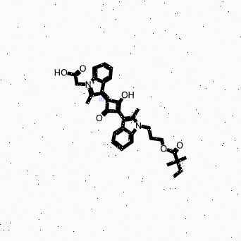 CCC(C)(C)C(=O)OCCCn1c(C)c(C2=C(O)/C(=C3/C(C)=[N+](CC(=O)O)c4ccccc43)C2=O)c2ccccc21